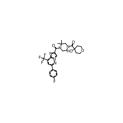 CC1(C)CN(C(=O)C2(O)CCOCC2)CCN1C(=O)c1cn2nc(-c3ccc(F)cc3)cc(C(F)(F)F)c2n1